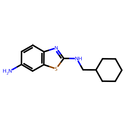 Nc1c[c]c2nc(NCC3CCCCC3)sc2c1